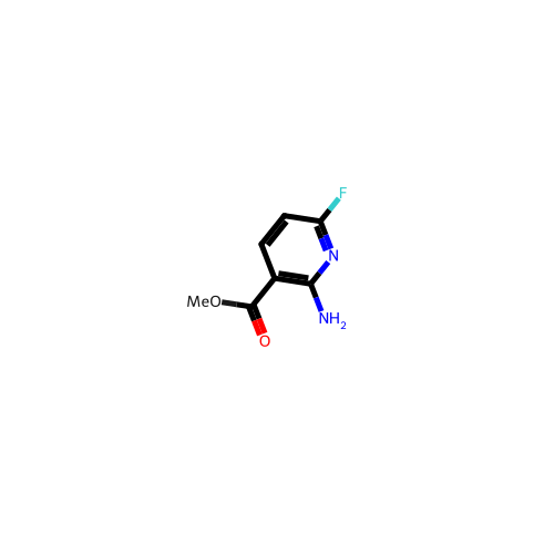 COC(=O)c1ccc(F)nc1N